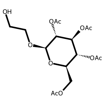 CC(=O)OC[C@H]1O[C@@H](OCCO)[C@H](OC(C)=O)[C@@H](OC(C)=O)[C@@H]1OC(C)=O